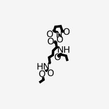 CCOC(=O)NCCCCC(NC(=O)CC)C(=O)ON1C(=O)CCC1=O